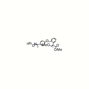 CCCO/N=C(\C)c1ccc(OCc2ccccc2/C(=C\OC)C(=O)OC)cc1